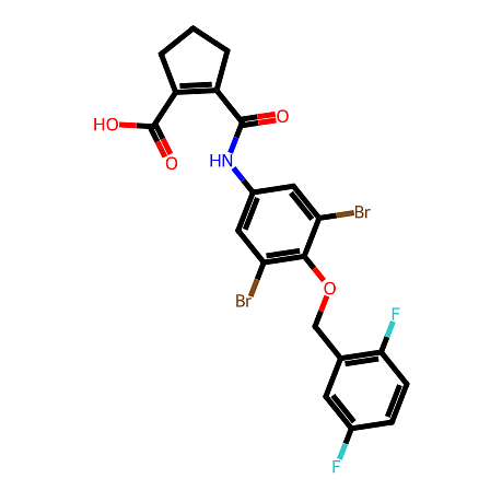 O=C(O)C1=C(C(=O)Nc2cc(Br)c(OCc3cc(F)ccc3F)c(Br)c2)CCC1